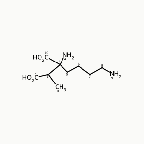 CC(C(=O)O)C(N)(CCCCN)C(=O)O